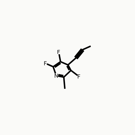 CC#Cc1c(F)c(C)nc(F)c1F